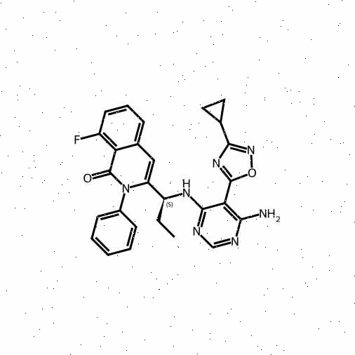 CC[C@H](Nc1ncnc(N)c1-c1nc(C2CC2)no1)c1cc2cccc(F)c2c(=O)n1-c1ccccc1